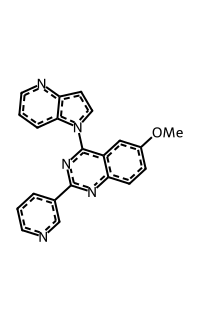 COc1ccc2nc(-c3cccnc3)nc(-n3ccc4ncccc43)c2c1